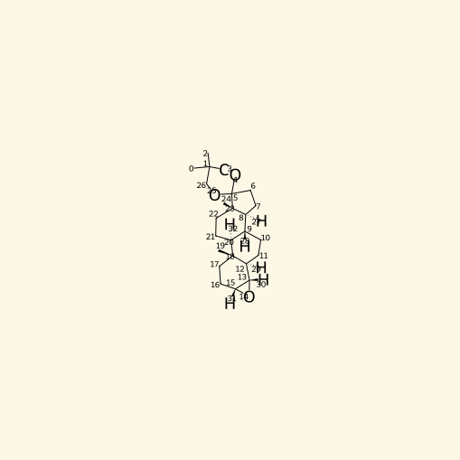 CC1(C)COC2(CC[C@H]3[C@@H]4CC[C@H]5[C@@H]6O[C@@H]6CC[C@]5(C)[C@H]4CC[C@@]32C)OC1